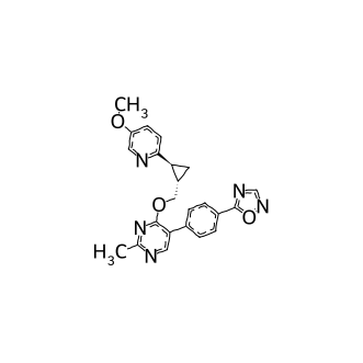 COc1ccc([C@H]2C[C@@H]2COc2nc(C)ncc2-c2ccc(-c3ncno3)cc2)nc1